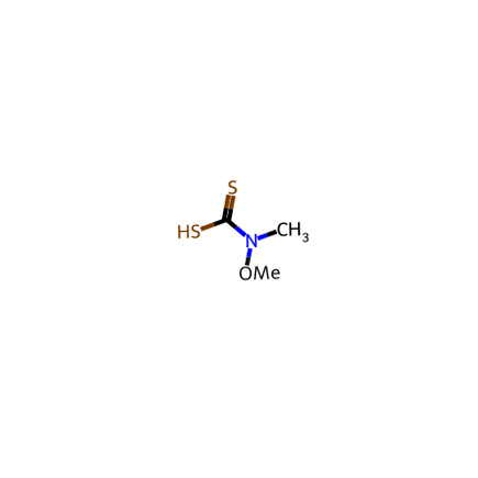 CON(C)C(=S)S